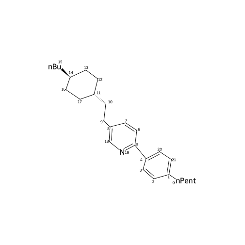 CCCCCc1ccc(-c2ccc(CC[C@H]3CC[C@H](CCCC)CC3)cn2)cc1